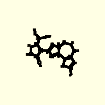 Cc1cc2c(s1)-c1nc(N3C(=O)OCC3C(F)F)cn1CCO2